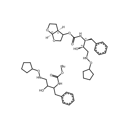 CC(C)(C)OC(=O)NC(Cc1ccccc1)C(O)CNOC1CCCC1.O=C(N[C@@H](Cc1ccccc1)[C@H](O)CNOC1CCCC1)OC1CO[C@H]2OCC[C@@H]12